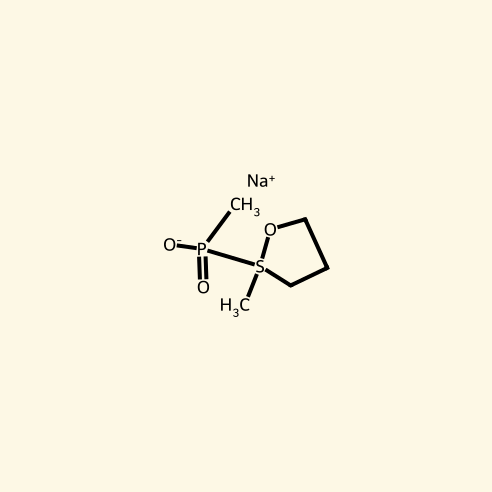 CP(=O)([O-])S1(C)CCCO1.[Na+]